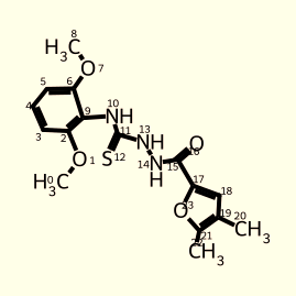 COc1cccc(OC)c1NC(=S)NNC(=O)c1cc(C)c(C)o1